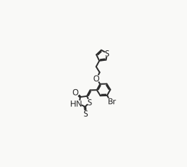 O=C1NC(=S)S/C1=C\c1cc(Br)ccc1OCCc1ccsc1